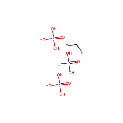 FCF.O=P(O)(O)O.O=P(O)(O)O.O=P(O)(O)O